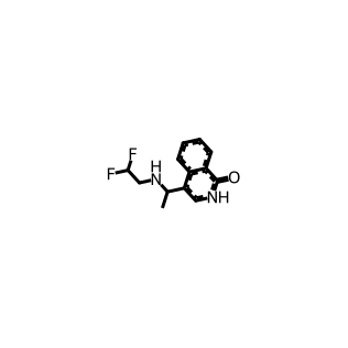 CC(NCC(F)F)c1c[nH]c(=O)c2ccccc12